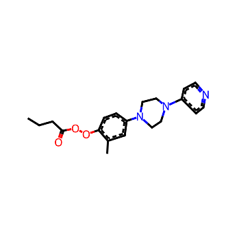 CCCC(=O)OOc1ccc(N2CCN(c3ccncc3)CC2)cc1C